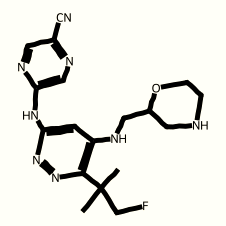 CC(C)(CF)c1nnc(Nc2cnc(C#N)cn2)cc1NCC1CNCCO1